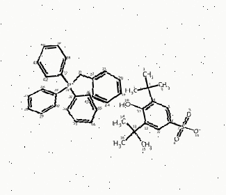 CC(C)(C)c1cc(S(=O)(=O)[O-])cc(C(C)(C)C)c1O.c1ccc(C[P+](c2ccccc2)(c2ccccc2)c2ccccc2)cc1